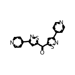 O=C(c1cc(-c2ccncc2)ns1)c1cc(-c2ccncc2)ns1